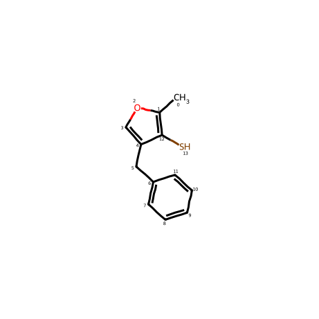 Cc1occ(Cc2ccccc2)c1S